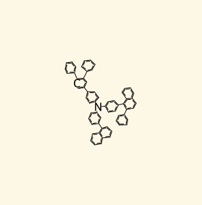 c1ccc(-c2ccc(-c3ccc(N(c4ccc(-c5c(-c6ccccc6)ccc6ccccc56)cc4)c4cccc(-c5cccc6ccccc56)c4)cc3)cc2-c2ccccc2)cc1